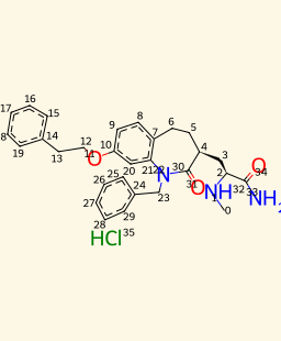 CN[C@@H](C[C@@H]1CCc2ccc(OCCc3ccccc3)cc2N(Cc2ccccc2)C1=O)C(N)=O.Cl